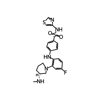 CN[C@@H]1CCCN(c2cc(F)ccc2Nc2ccc(S(=O)(=O)Nc3cscn3)cc2)C1